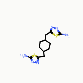 Nc1nnc(CC2CCC(Cc3nnc(N)s3)CC2)s1